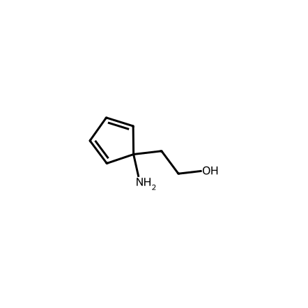 NC1(CCO)C=CC=C1